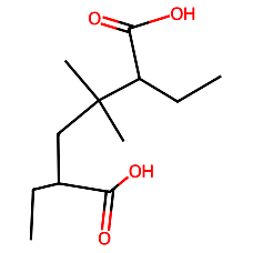 CCC(CC(C)(C)C(CC)C(=O)O)C(=O)O